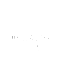 COC1=C(C)C(C)CC1=O